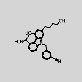 CCCCCc1cc(O)c2c3c(C(N)=O)cccc3n(Cc3cccc(C#N)c3)c2c1